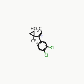 O=C(O)/C=C(/c1ccc(Cl)c(Cl)c1)C1(C(F)(F)F)CC1